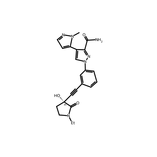 CCN1CC[C@@](O)(C#Cc2cccc(-n3cc(-c4ccnn4C)c(C(N)=O)n3)c2)C1=O